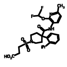 Cc1ccc(NC(=O)C2(c3ccccc3C(C)C)CCN(S(=O)(=O)CCC(=O)O)CC2)c(OC(F)F)n1